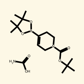 CC(C)(C)OC(=O)N1CC=C(B2OC(C)(C)C(C)(C)O2)CC1.NC(=O)O